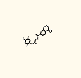 C=C(S/C=C(\C)Cc1cc(C)c(I)cc1C)c1ccc2c(c1)CCCC2=O